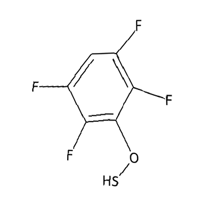 Fc1cc(F)c(F)c(OS)c1F